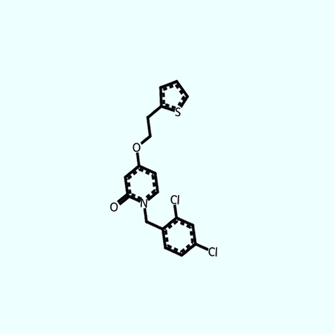 O=c1cc(OCCc2cccs2)ccn1Cc1ccc(Cl)cc1Cl